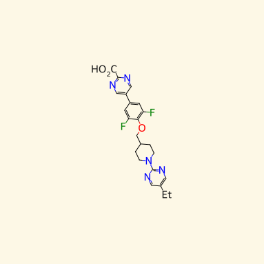 CCc1cnc(N2CCC(COc3c(F)cc(-c4cnc(C(=O)O)nc4)cc3F)CC2)nc1